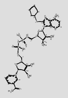 NC(=O)c1ccc[n+]([C@H]2O[C@@H](COP(=O)(O)OP(=O)(O)OC[C@H]3O[C@@H](n4c(SC5CCCC5)nc5c(N)ccnc54)C(O)[C@H]3O)C(O)[C@H]2O)c1